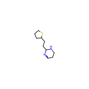 [CH](CC1N=CCCN1)C1CCCS1